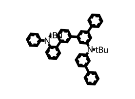 CC(C)(C)N(c1cccc(-c2ccccc2)c1)c1cc(-c2ccccc2)cc(-c2cccc(-c3ccccc3N(c3ccccc3)C(C)(C)C)c2)c1